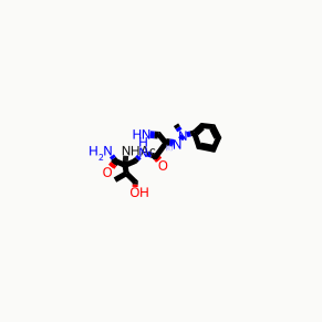 CC(=O)NC(CNC(=O)/C(C=N)=N/N(C)c1ccccc1)(C(N)=O)C(C)CO